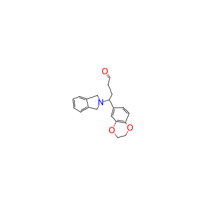 O=CCCC(c1ccc2c(c1)OCCO2)N1Cc2ccccc2C1